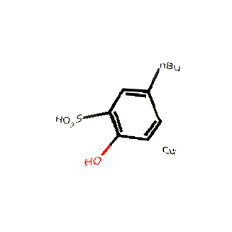 CCCCc1ccc(O)c(S(=O)(=O)O)c1.[Cu]